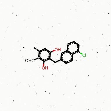 Cc1cc(O)c(Cc2ccc3c(Cl)cccc3c2)c(O)c1C=O